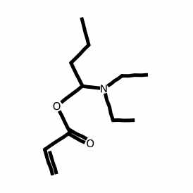 C=CC(=O)OC(CCC)N(CC)CC